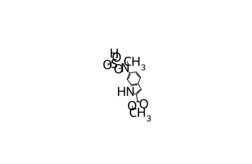 COC(=O)c1cc2ccc(N(C)O[SH](=O)=O)cc2[nH]1